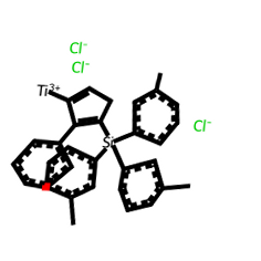 Cc1cccc([Si](C2=C(c3ccccc3)[C]([Ti+3])=CC2)(c2cccc(C)c2)c2cccc(C)c2)c1.[Cl-].[Cl-].[Cl-]